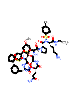 Cc1ccc(S(=O)(=O)N(C(=O)[C@@H]2CCCN2C(=O)[C@H](CSCc2ccccc2)NC(=O)[C@H](CC(N)=O)NC(=O)[C@H](CCC(N)=O)NC(=O)[C@H](Cc2ccccc2)NC(=O)[C@H](Cc2ccc(OC(C)(C)C)cc2[N+](=O)[O-])NSc2ccccc2)[C@@H](CCCCN)C(=O)NCC(=O)O)cc1